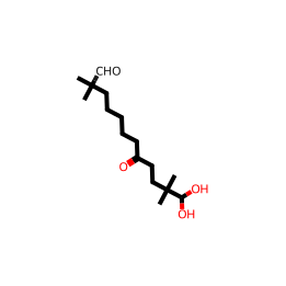 CC(C)(C=O)CCCCCC(=O)CCC(C)(C)C(O)O